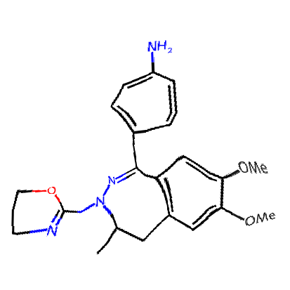 COc1cc2c(cc1OC)C(c1ccc(N)cc1)=NN(C1=NCCO1)C(C)C2